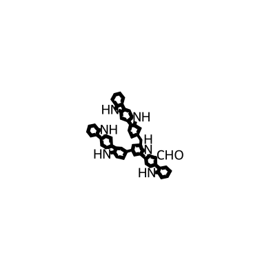 O=Cc1c2[nH]c3c(Cc4ccc5c(c4)[nH]c4cc6c(cc45)[nH]c4ccccc46)cc(-c4ccc5[nH]c6cc7c(cc6c5c4)[nH]c4ccccc47)cc3c2cc2[nH]c3ccccc3c12